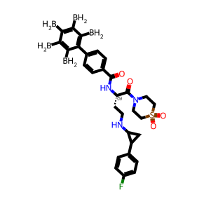 Bc1c(B)c(B)c(-c2ccc(C(=O)N[C@@H](CCNC3CC3c3ccc(F)cc3)C(=O)N3CCS(=O)(=O)CC3)cc2)c(B)c1B